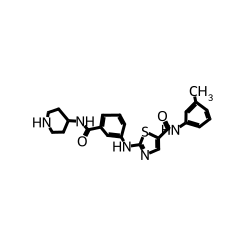 Cc1cccc(NC(=O)c2cnc(Nc3cccc(C(=O)NC4CCNCC4)c3)s2)c1